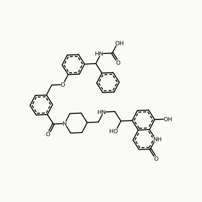 O=C(O)NC(c1ccccc1)c1cccc(OCc2cccc(C(=O)N3CCC(CNCC(O)c4ccc(O)c5[nH]c(=O)ccc45)CC3)c2)c1